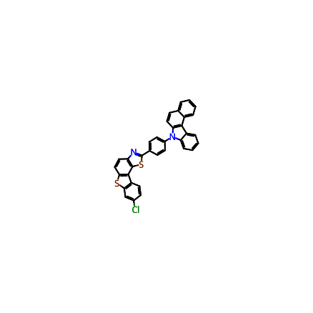 Clc1ccc2c(c1)sc1ccc3nc(-c4ccc(-n5c6ccccc6c6c7ccccc7ccc65)cc4)sc3c12